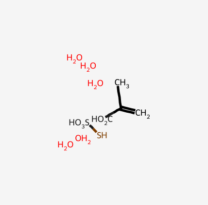 C=C(C)C(=O)O.O.O.O.O.O.O=S(=O)(O)S